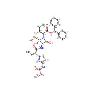 CC/C=C(\C(=O)N[C@@H]1C(=O)N2C(C(=O)OC(c3ccccc3)c3ccccc3)=C(CBr)C[S+]([O-])[C@H]12)c1csc(NC(=O)OC(C)(C)C)n1